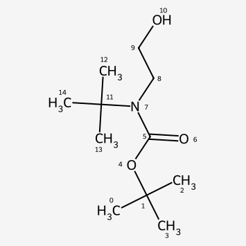 CC(C)(C)OC(=O)N(CCO)C(C)(C)C